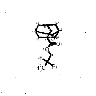 CC(F)(F)COC(=O)C12CC3CC(C1)C(=O)C(C3)C2